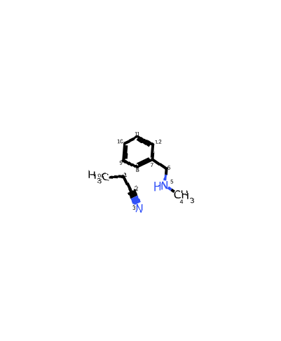 CCC#N.CNCc1ccccc1